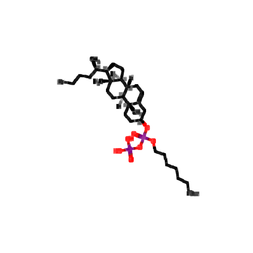 CCCCCCCCCCCCCCCCOP(=O)(O[C@H]1CC[C@@]2(C)C(=CC[C@H]3[C@@H]4CC[C@H]([C@H](C)CCCC(C)C)[C@@]4(C)CC[C@@H]32)C1)OP(=O)(O)O